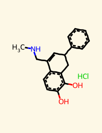 CNCC1=CC(c2ccccc2)Cc2c1ccc(O)c2O.Cl